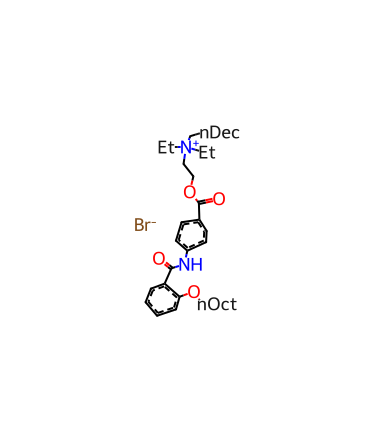 CCCCCCCCCCC[N+](CC)(CC)CCOC(=O)c1ccc(NC(=O)c2ccccc2OCCCCCCCC)cc1.[Br-]